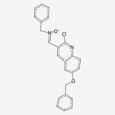 [O-]/[N+](=C\c1cc2cc(OCc3ccccc3)ccc2nc1Cl)Cc1ccccc1